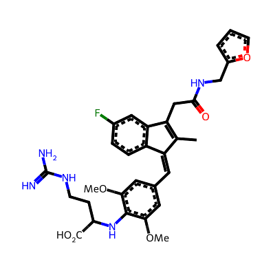 COc1cc(/C=C2/C(C)=C(CC(=O)NCc3ccco3)c3cc(F)ccc32)cc(OC)c1NC(CCNC(=N)N)C(=O)O